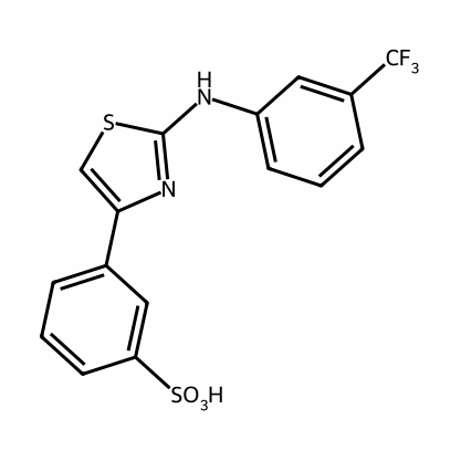 O=S(=O)(O)c1cccc(-c2csc(Nc3cccc(C(F)(F)F)c3)n2)c1